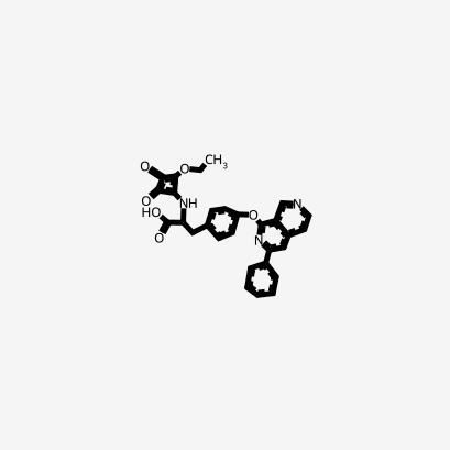 CCOc1c(NC(Cc2ccc(Oc3nc(-c4ccccc4)cc4ccncc34)cc2)C(=O)O)c(=O)c1=O